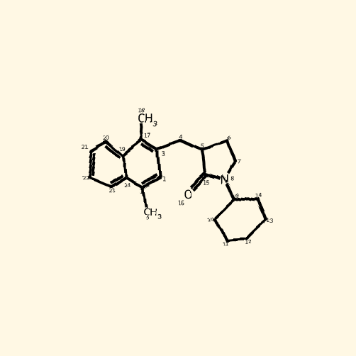 Cc1cc(CC2CCN(C3CCCCC3)C2=O)c(C)c2ccccc12